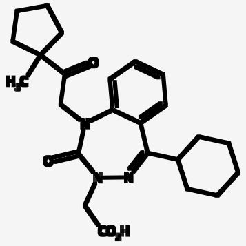 CC1(C(=O)CN2C(=O)N(CC(=O)O)N=C(C3CCCCC3)c3ccccc32)CCCC1